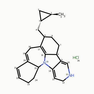 C[C@@H]1C[C@H]1CC1CCC2C3=CNCC=C3N3C2=C1CC=C1C=CCCC13.Cl